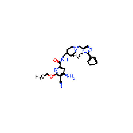 CCOc1nc(C(=O)NCC2CCN(Cc3cnc(-c4ccccc4)n3C)CC2)cc(N)c1C#N